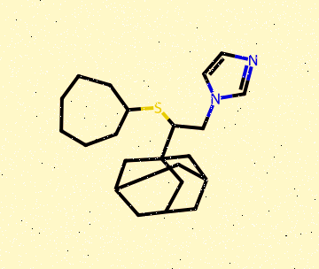 c1cn(CC(SC2CCCCCC2)C23CC4CC(CC(C4)C2)C3)cn1